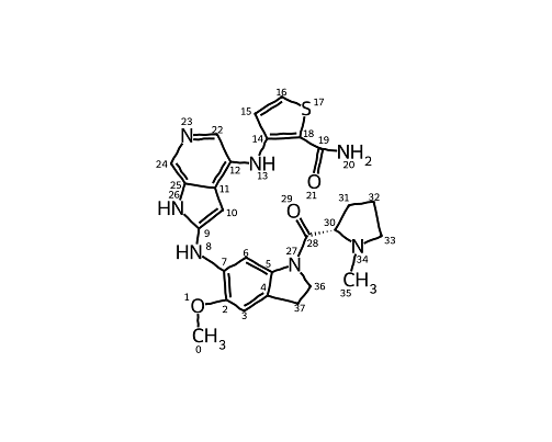 COc1cc2c(cc1Nc1cc3c(Nc4ccsc4C(N)=O)cncc3[nH]1)N(C(=O)[C@@H]1CCCN1C)CC2